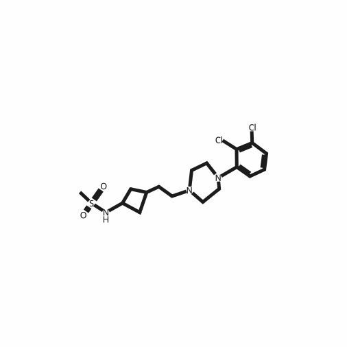 CS(=O)(=O)NC1CC(CCN2CCN(c3cccc(Cl)c3Cl)CC2)C1